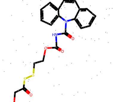 O=C(NC(=O)N1c2ccccc2C=Cc2ccccc21)OCCSSC(=O)CO